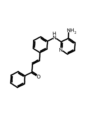 Nc1cccnc1Nc1cccc(/C=C/C(=O)c2ccccc2)c1